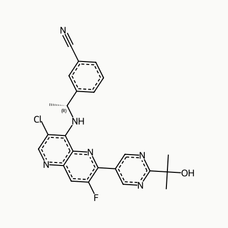 C[C@@H](Nc1c(Cl)cnc2cc(F)c(-c3cnc(C(C)(C)O)nc3)nc12)c1cccc(C#N)c1